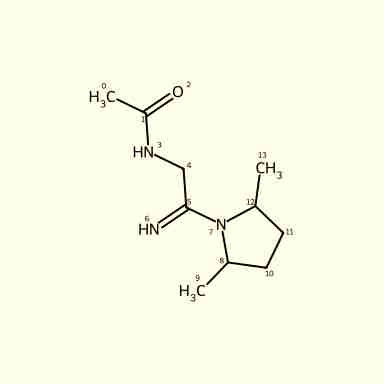 CC(=O)NCC(=N)N1C(C)CCC1C